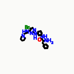 NC(Cc1ccccc1)C(=O)Nc1cccc(Nc2ncc(Br)c(NCCN3CCCCC3)n2)c1